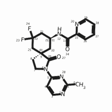 Cc1nccc(N2CC[C@]3(C[C@H](NC(=O)c4ccccn4)CC(F)(F)C3)C2=O)n1